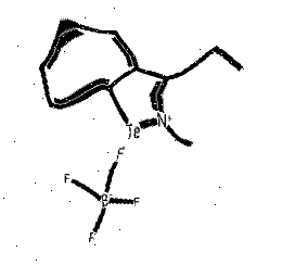 CCc1c2ccccc2[te][n+]1C.F[B-](F)(F)F